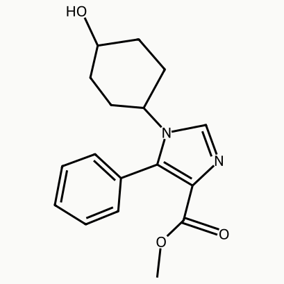 COC(=O)c1ncn(C2CCC(O)CC2)c1-c1ccccc1